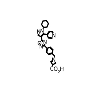 O=C(O)C1CN(Cc2ccc(-c3noc(-c4cnn(C5CCCCC5)c4-c4ccncc4)n3)cc2)C1